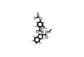 CCOC(=O)C1(NC(=O)c2ccc(OC(F)F)cc2C)Cc2ccccc2C1